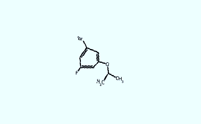 CC(C)Oc1[c]c(F)cc(Br)c1